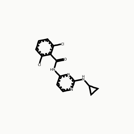 O=C(Nc1ccnc(NC2CC2)n1)c1c(Cl)cccc1Cl